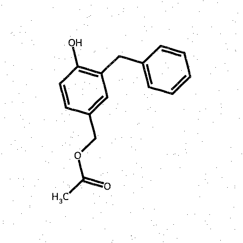 CC(=O)OCc1ccc(O)c(Cc2ccccc2)c1